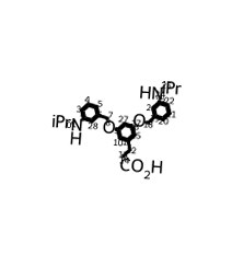 CC(C)Nc1cccc(COc2cc(CCC(=O)O)cc(OCc3cccc(NC(C)C)c3)c2)c1